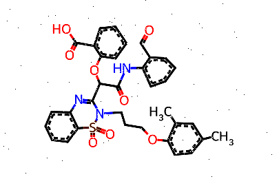 Cc1ccc(OCCCN2C(C(Oc3ccccc3C(=O)O)C(=O)Nc3ccccc3C=O)=Nc3ccccc3S2(=O)=O)c(C)c1